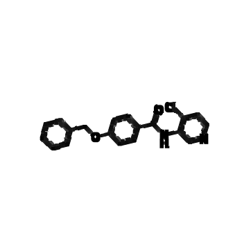 O=C(Nc1cnccc1Cl)c1ccc(OCc2ccccc2)cc1